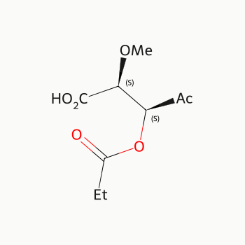 CCC(=O)O[C@H](C(C)=O)[C@H](OC)C(=O)O